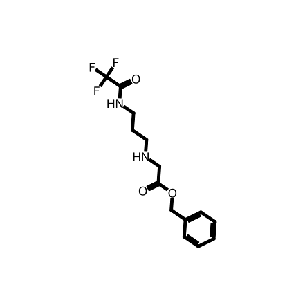 O=C(CNCCCNC(=O)C(F)(F)F)OCc1ccccc1